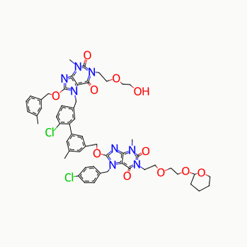 Cc1cccc(COc2nc3c(c(=O)n(CCOCCO)c(=O)n3C)n2Cc2ccc(Cl)c(-c3cc(C)cc(COc4nc5c(c(=O)n(CCOCCOC6CCCCO6)c(=O)n5C)n4Cc4ccc(Cl)cc4)c3)c2)c1